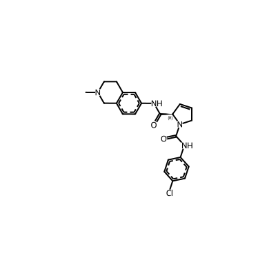 CN1CCc2cc(NC(=O)[C@H]3C=CCN3C(=O)Nc3ccc(Cl)cc3)ccc2C1